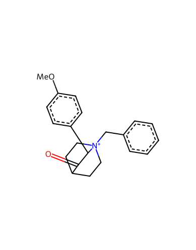 COc1ccc(C2C(=O)C3CC[N+]2(Cc2ccccc2)CC3)cc1